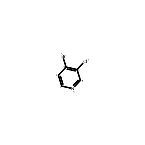 Clc1cn[c]cc1Br